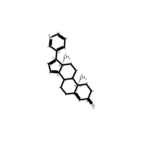 C[C@]12CCC3C(CCC4=CC(=O)CC[C@@]43C)C1=CC=C2c1cccnc1